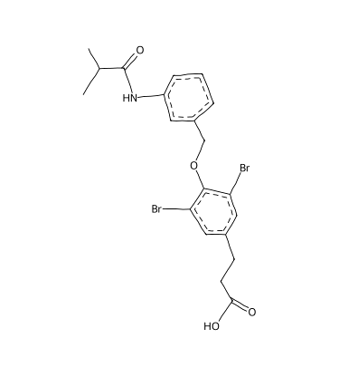 CC(C)C(=O)Nc1cccc(COc2c(Br)cc(CCC(=O)O)cc2Br)c1